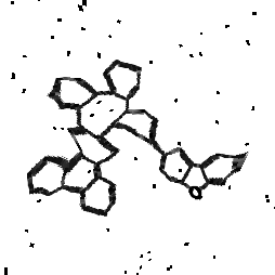 c1ccc2c(c1)-c1ccccc1-c1cc3c4ccccc4c4ccccc4c3cc1-c1cc(-c3ccc4oc5ccccc5c4c3)ccc1-2